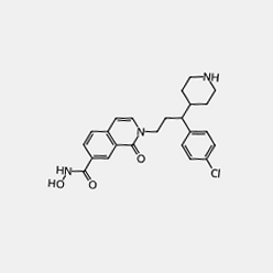 O=C(NO)c1ccc2ccn(CCC(c3ccc(Cl)cc3)C3CCNCC3)c(=O)c2c1